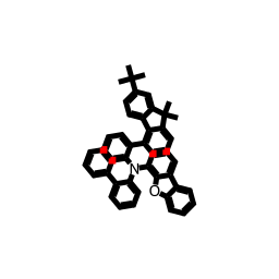 CC(C)(C)c1ccc2c(c1)C(C)(C)c1cccc(-c3ccccc3N(c3ccccc3-c3ccccc3)c3cccc4c3oc3ccccc34)c1-2